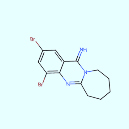 N=c1c2cc(Br)cc(Br)c2nc2n1CCCCC2